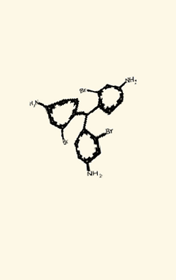 Nc1ccc(C(c2ccc(N)cc2Br)c2ccc(N)cc2Br)c(Br)c1